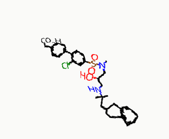 CN(C[C@H](O)CNC(C)(C)CC1Cc2ccccc2C1)S(=O)(=O)c1ccc(-c2ccc(CC(=O)O)cc2)c(Cl)c1